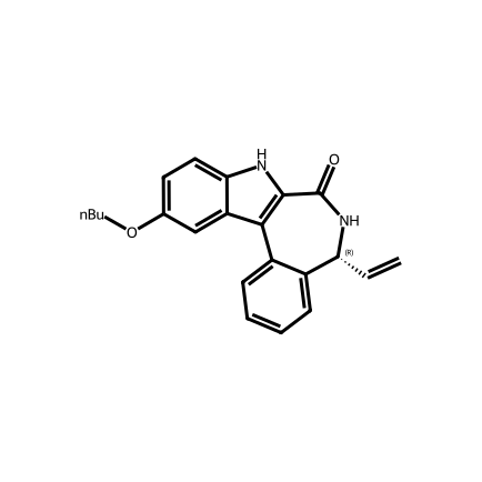 C=C[C@H]1NC(=O)c2[nH]c3ccc(OCCCC)cc3c2-c2ccccc21